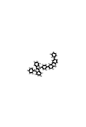 c1ccc(-c2ccc3sc4ccc(-c5ccc(-n6c7ccccc7c7c6c6ccccc6n7-c6ccccc6)cc5)cc4c3c2)cc1